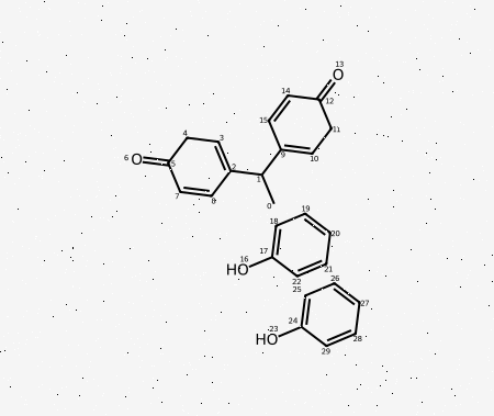 CC(C1=CCC(=O)C=C1)C1=CCC(=O)C=C1.Oc1ccccc1.Oc1ccccc1